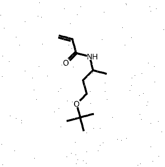 C=CC(=O)NC(C)CCOC(C)(C)C